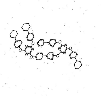 c1ccc(-c2ccc(Oc3nc(Oc4ccc(-c5ccc(Oc6nc(Oc7ccc(C8CCCCC8)cc7)nc(Oc7ccc(C8CCCCC8)cc7)n6)cc5)cc4)nc(Oc4ccc(C5CCCCC5)cc4)n3)cc2)cc1